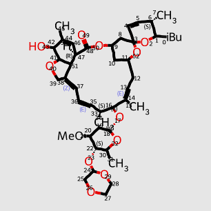 CCC(C)C1OC2(C=C[C@@H]1C)CC1CC(C/C=C(\C)[C@@H](O[C@H]3CC(OC)[C@@H](OC4COCCO4)C(C)O3)[C@@H](C)/C=C/C=C3\COC4C(O)C(C)=C[C@@H](C(=O)O1)C34)O2